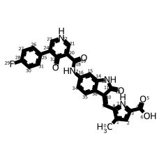 Cc1cc(C(=O)O)[nH]c1C=C1C(=O)Nc2cc(NC(=O)c3c[nH]cc(-c4ccc(F)cc4)c3=O)ccc21